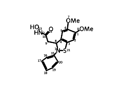 COc1cc2c(cc1OC)C(CC(=O)NO)N(c1ccccc1)S2